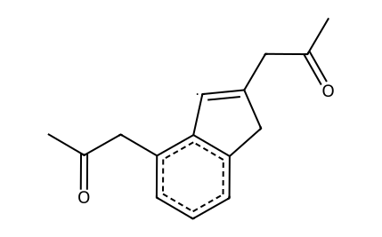 CC(=O)CC1=[C]c2c(CC(C)=O)cccc2C1